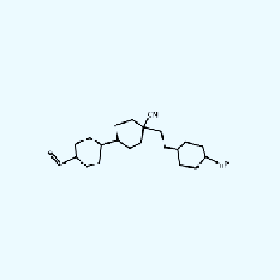 C=CC1CCC(C2CCC(C#N)(CCC3CCC(CCC)CC3)CC2)CC1